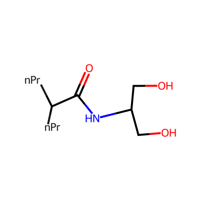 CCCC(CCC)C(=O)NC(CO)CO